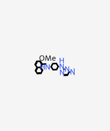 COc1ccc2ccccc2c1CN[C@H]1CC[C@@H](Nc2nccc(N(C)C)n2)CC1